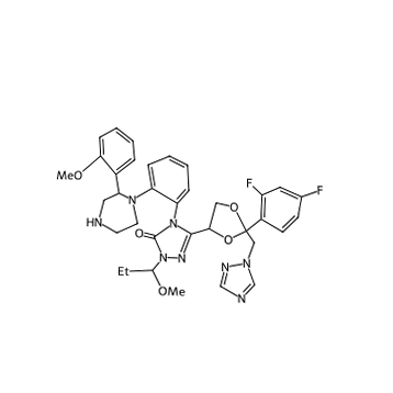 CCC(OC)n1nc(C2COC(Cn3cncn3)(c3ccc(F)cc3F)O2)n(-c2ccccc2N2CCNCC2c2ccccc2OC)c1=O